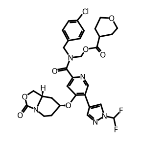 O=C(OCN(Cc1ccc(Cl)cc1)C(=O)c1cc(O[C@H]2CCN3C(=O)OC[C@@H]3C2)c(-c2cnn(C(F)F)c2)cn1)C1CCOCC1